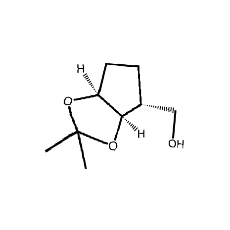 CC1(C)O[C@@H]2[C@@H](CO)CC[C@@H]2O1